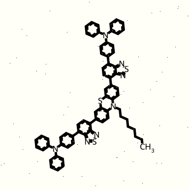 CCCCCCCCN1c2ccc(-c3ccc(-c4ccc(N(c5ccccc5)c5ccccc5)cc4)c4nsnc34)cc2Sc2cc(-c3ccc(-c4ccc(N(c5ccccc5)c5ccccc5)cc4)c4nsnc34)ccc21